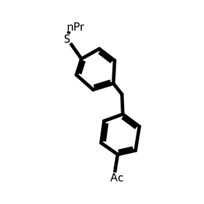 CCCSc1ccc(Cc2ccc(C(C)=O)cc2)cc1